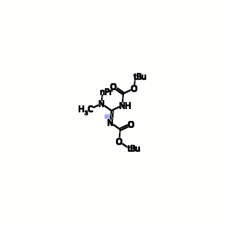 CCCN(C)/C(=N/C(=O)OC(C)(C)C)NC(=O)OC(C)(C)C